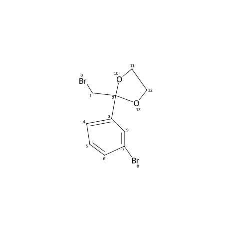 BrCC1(c2cccc(Br)c2)OCCO1